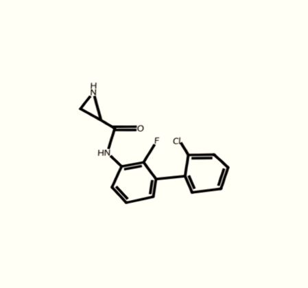 O=C(Nc1cccc(-c2ccccc2Cl)c1F)C1CN1